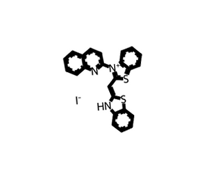 C(=C1Nc2ccccc2S1)c1sc2ccccc2[n+]1-c1ccc2ccccc2n1.[I-]